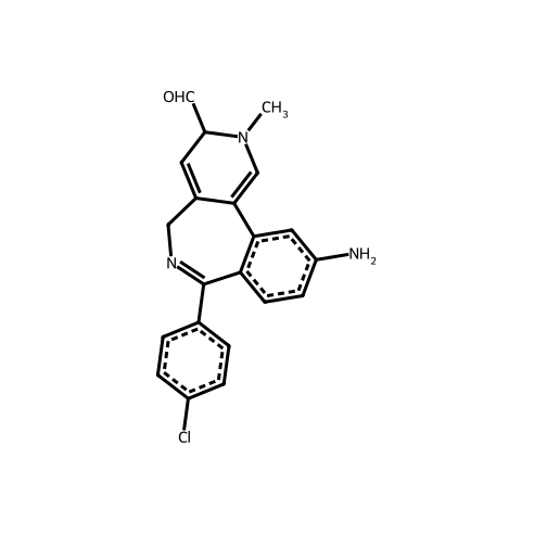 CN1C=C2C(=CC1C=O)CN=C(c1ccc(Cl)cc1)c1ccc(N)cc12